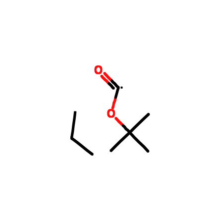 CC(C)(C)O[C]=O.CCC